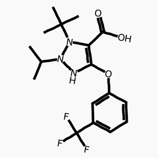 CC(C)N1NC(Oc2cccc(C(F)(F)F)c2)=C(C(=O)O)N1C(C)(C)C